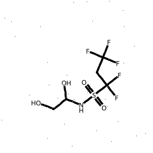 O=S(=O)(NC(O)CO)C(F)(F)CC(F)(F)F